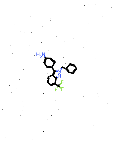 Nc1ccc(-c2c3cccc(C(F)(F)F)c3nn2Cc2ccccc2)cc1